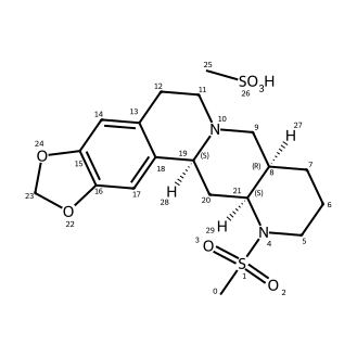 CS(=O)(=O)N1CCC[C@@H]2CN3CCc4cc5c(cc4[C@@H]3C[C@@H]21)OCO5.CS(=O)(=O)O